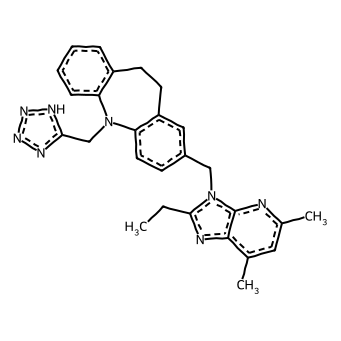 CCc1nc2c(C)cc(C)nc2n1Cc1ccc2c(c1)CCc1ccccc1N2Cc1nnn[nH]1